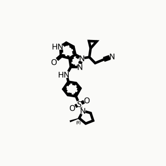 C[C@@H]1CCCN1S(=O)(=O)c1ccc(Nc2nn(C(CC#N)C3CC3)c3cc[nH]c(=O)c23)cc1